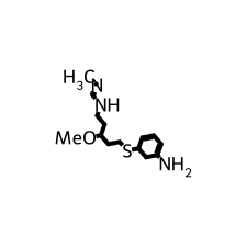 C/N=C/NCCC(CCSC1C=CC=C(N)C1)OC